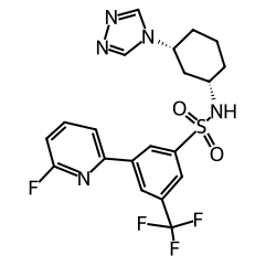 O=S(=O)(N[C@H]1CCC[C@@H](n2cnnc2)C1)c1cc(-c2cccc(F)n2)cc(C(F)(F)F)c1